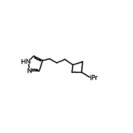 CC(C)C1CC(CCCc2cn[nH]c2)C1